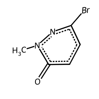 Cn1nc(Br)ccc1=O